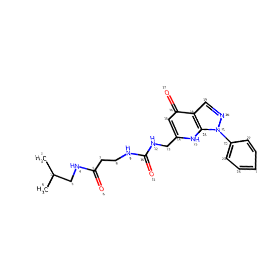 CC(C)CNC(=O)CCNC(=O)NCc1cc(=O)c2cnn(-c3ccccc3)c2[nH]1